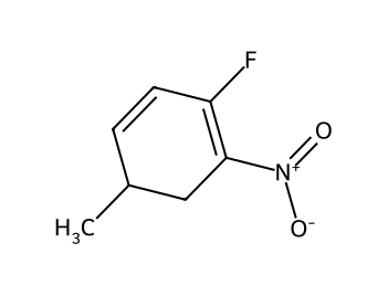 CC1C=CC(F)=C([N+](=O)[O-])C1